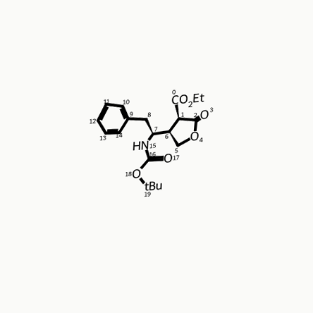 CCOC(=O)[C@H]1C(=O)OC[C@H]1[C@H](Cc1ccccc1)NC(=O)OC(C)(C)C